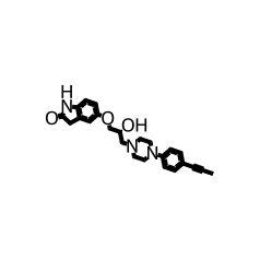 CC#Cc1ccc(N2CCN(C[C@@H](O)COc3ccc4c(c3)CC(=O)N4)CC2)cc1